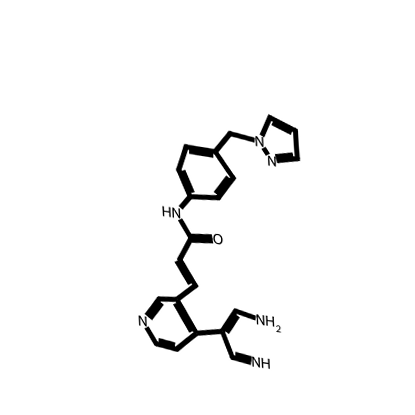 N=C/C(=C\N)c1ccncc1/C=C/C(=O)Nc1ccc(Cn2cccn2)cc1